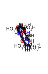 O=C(O)CC[C@H](NC(=O)N[C@@H](CCCCNC(=O)CCCCCCC(=O)NCCCC[C@@H](NC(=O)[C@H](CCC(=O)O)NC(=O)[C@H](CCC(=O)O)NC(=O)CCC(=O)NCCCN(CCS)CCNCCS)C(=O)O)C(=O)O)C(=O)O